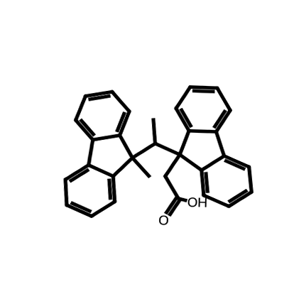 CC(C1(C)c2ccccc2-c2ccccc21)C1(CC(=O)O)c2ccccc2-c2ccccc21